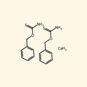 NC(=S)OCc1ccccc1.NC(=S)OCc1ccccc1.[CaH2]